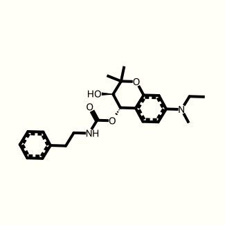 CCN(C)c1ccc2c(c1)OC(C)(C)[C@H](O)[C@H]2OC(=O)NCCc1ccccc1